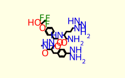 CNC(=O)C(Cc1ccc(C(=N)N)cc1)C(=O)N[C@H](C(=O)NC(CCCNC(=N)N)C(N)=O)c1ccccc1.O=C(O)C(F)(F)F